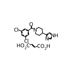 O=C(O)C=CC(=O)O.O=C(c1cc(Cl)cc(Cl)c1)N1CCC(c2c[nH]cn2)CC1